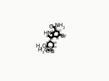 CC1(C)C[C@@H](c2c[nH]c3c(C(N)=O)cc(Br)cc23)CCS1(=O)=O